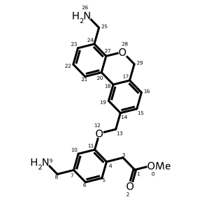 COC(=O)Cc1ccc(CN)cc1OCc1ccc2c(c1)-c1cccc(CN)c1OC2